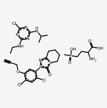 C#CCOc1cc(-n2nc3n(c2=O)CCCC3)c(Cl)cc1Cl.CCNc1nc(Cl)nc(NC(C)C)n1.CP(=O)(O)CCC(N)C(=O)O